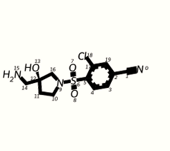 N#Cc1ccc(S(=O)(=O)N2CC[C@](O)(CN)C2)c(Cl)c1